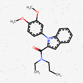 CCCN(CC)C(=O)c1cc2ccccc2n1-c1ccc(OC)c(OC)c1